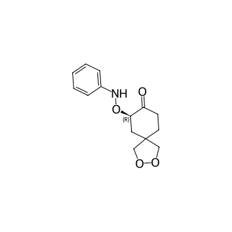 O=C1CCC2(COOC2)C[C@H]1ONc1ccccc1